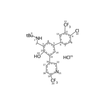 CC(C)(C)NCc1cc(-c2ccc(Cl)c(C(F)(F)F)c2)cc(-c2ccc(C(F)(F)F)nc2)c1O.Cl